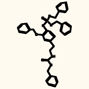 O=C(NCCc1ccc(OP(=O)(OCc2ccccc2)OCc2ccccc2)c(OCc2ccccc2)c1)OCc1ccccc1